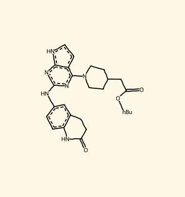 CCCCOC(=O)CC1CCN(c2nc(Nc3ccc4c(c3)CCC(=O)N4)nc3[nH]ccc23)CC1